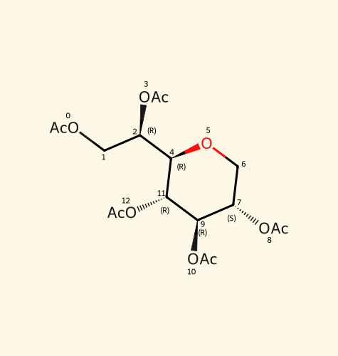 CC(=O)OC[C@@H](OC(C)=O)[C@H]1OC[C@H](OC(C)=O)[C@@H](OC(C)=O)[C@@H]1OC(C)=O